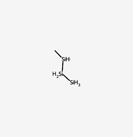 C[SiH][SiH2][SiH3]